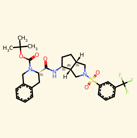 CC(C)(C)OC(=O)N1Cc2ccccc2C[C@H]1C(=O)N[C@H]1CC[C@@H]2CN(S(=O)(=O)c3cccc(C(F)(F)F)c3)C[C@@H]21